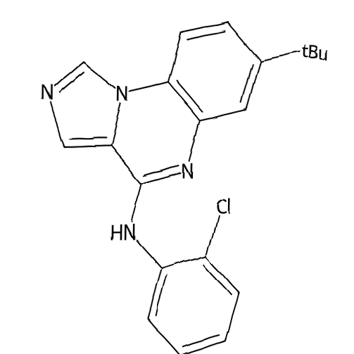 CC(C)(C)c1ccc2c(c1)nc(Nc1ccccc1Cl)c1cncn12